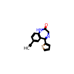 C#Cc1ccc2c(c1)C(c1cccs1)=NCC(=O)N2